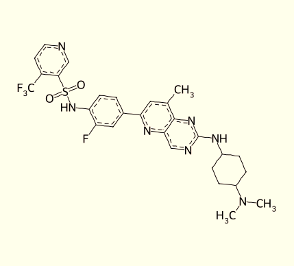 Cc1cc(-c2ccc(NS(=O)(=O)c3cnccc3C(F)(F)F)c(F)c2)nc2cnc(NC3CCC(N(C)C)CC3)nc12